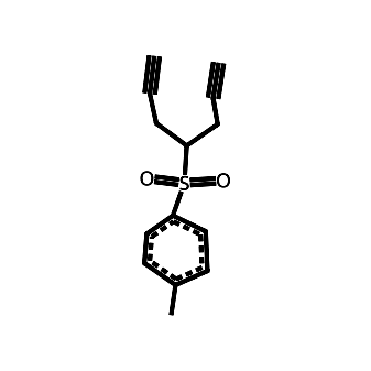 C#CCC(CC#C)S(=O)(=O)c1ccc(C)cc1